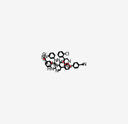 N#Cc1ccc(Nc2ncc(-c3ccccc3Cl)c(C(=NN(C(N)=O)c3cccc([N+](=O)[O-])c3)c3nc(Nc4ccc(C#N)cc4)ncc3-c3ccccc3Cl)n2)cc1